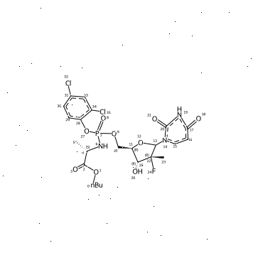 CCCCOC(=O)[C@H](C)NP(=O)(OC[C@H]1OC(n2ccc(=O)[nH]c2=O)[C@](C)(F)[C@@H]1O)Oc1ccc(Cl)cc1Cl